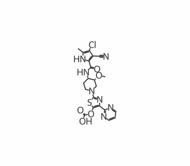 CO[C@H]1CN(c2nc(-c3ncccn3)c(OC(=O)O)s2)CC[C@H]1NC(=O)c1[nH]c(C)c(Cl)c1C#N